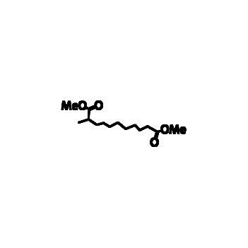 COC(=O)CCCCCCCCC(C)C(=O)OC